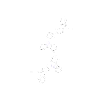 Cn1c2ccccc2c2cc(-c3cccc(-n4c5ccccc5c5cc(Sc6ccc7c(c6)c6ccccc6n7-c6ccc7c(c6)c6ccccc6n7C)ccc54)c3)ccc21